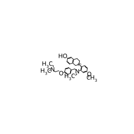 CCN(C)CCOc1ccc(CN(CC)c2cc(OC)ccc2[C@@H]2CCc3cc(O)ccc3C2)cc1